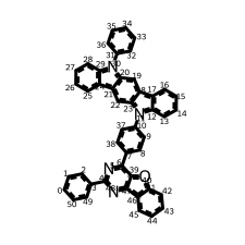 c1ccc(-c2nc(-c3ccc(-n4c5ccccc5c5cc6c(cc54)c4ccccc4n6-c4ccccc4)cc3)c3oc4ccccc4c3n2)cc1